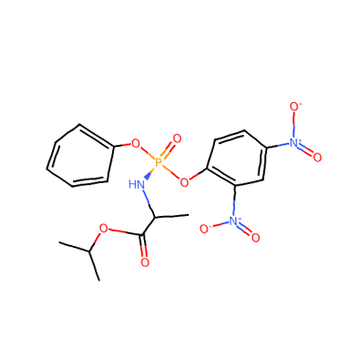 CC(C)OC(=O)C(C)N[P@](=O)(Oc1ccccc1)Oc1ccc([N+](=O)[O-])cc1[N+](=O)[O-]